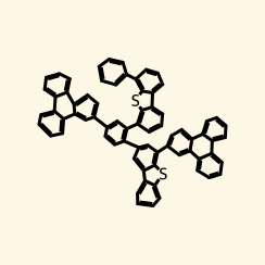 c1ccc(-c2cccc3c2sc2c(-c4cc(-c5ccc6c7ccccc7c7ccccc7c6c5)ccc4-c4cc(-c5ccc6c7ccccc7c7ccccc7c6c5)c5sc6ccccc6c5c4)cccc23)cc1